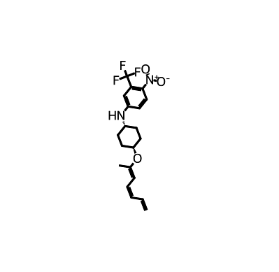 C=C/C=C\C=C(/C)O[C@H]1CC[C@H](Nc2ccc([N+](=O)[O-])c(C(F)(F)F)c2)CC1